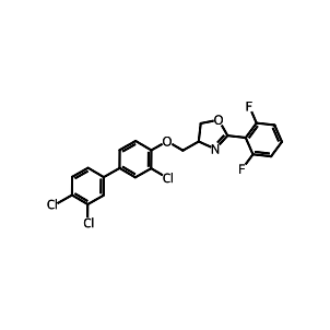 Fc1cccc(F)c1C1=NC(COc2ccc(-c3ccc(Cl)c(Cl)c3)cc2Cl)CO1